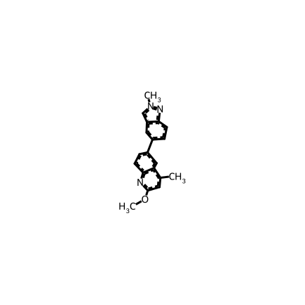 COc1cc(C)c2cc(-c3ccc4nn(C)cc4c3)ccc2n1